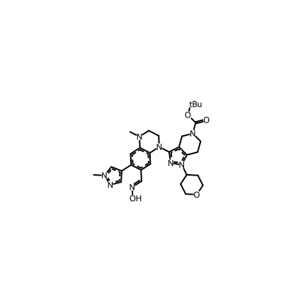 CN1CCN(c2nn(C3CCOCC3)c3c2CN(C(=O)OC(C)(C)C)CC3)c2cc(C=NO)c(-c3cnn(C)c3)cc21